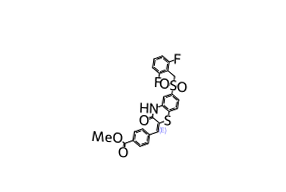 COC(=O)c1ccc(/C=C2/Sc3ccc(S(=O)(=O)Cc4c(F)cccc4F)cc3NC2=O)cc1